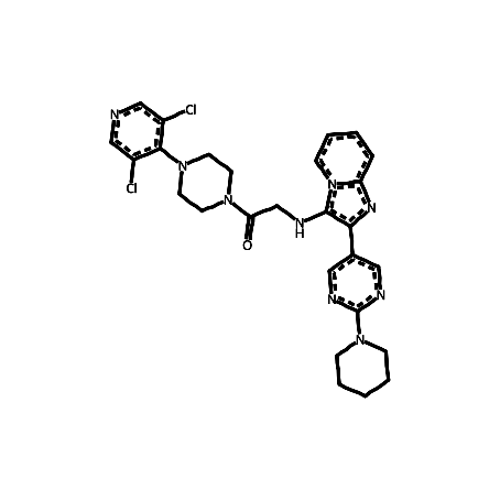 O=C(CNc1c(-c2cnc(N3CCCCC3)nc2)nc2ccccn12)N1CCN(c2c(Cl)cncc2Cl)CC1